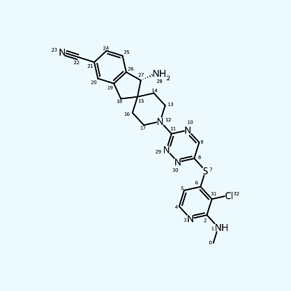 CNc1nccc(Sc2cnc(N3CCC4(CC3)Cc3cc(C#N)ccc3[C@@H]4N)nn2)c1Cl